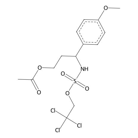 COc1ccc(C(CCOC(C)=O)NS(=O)(=O)OCC(Cl)(Cl)Cl)cc1